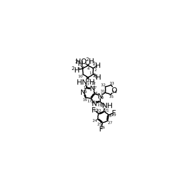 [2H]C1C([2H])C([2H])(O)C([2H])([2H])CC1([2H])Nc1ncc2nc(Nc3c(F)cc(F)cc3F)n(C3CCOC3)c2n1